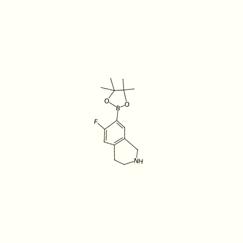 CC1(C)OB(c2cc3c(cc2F)CCNC3)OC1(C)C